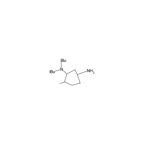 CCC(C)N(C(C)CC)C1CC(N)CCC1C